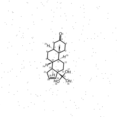 C[C@]12CCC(=O)C[C@@H]1CC[C@@H]1[C@@H]2CC[C@]2(C(O)(O)O)C=CC[C@@H]12